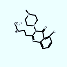 CN1CCN(n2c(CCNC(=O)O)nc3cccc(Cl)c3c2=O)CC1